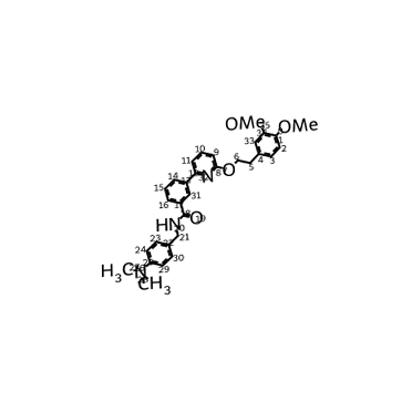 COc1ccc(CCOc2cccc(-c3cccc(C(=O)NCc4ccc(N(C)C)cc4)c3)n2)cc1OC